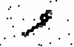 Cc1cc(NCCCCCN)ccc1C(F)(F)F